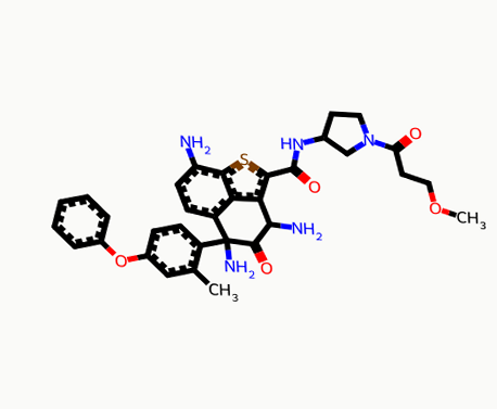 COCCC(=O)N1CCC(NC(=O)c2sc3c(N)ccc4c3c2C(N)C(=O)C4(N)c2ccc(Oc3ccccc3)cc2C)C1